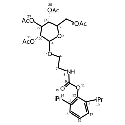 CC(=O)OCC1OC(OCCNC(=O)Oc2c(C(C)C)cccc2C(C)C)[C@H](OC(C)=O)C(OC(C)=O)[C@@H]1OC(C)=O